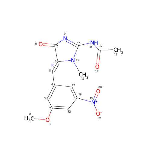 COc1cc(/C=C2/C(=O)N=C(NC(C)=O)N2C)cc([N+](=O)[O-])c1